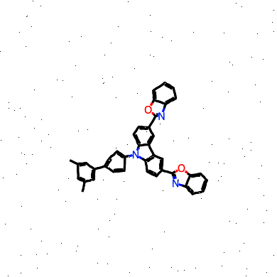 Cc1cc(C)cc(-c2ccc(-n3c4ccc(-c5nc6ccccc6o5)cc4c4cc(-c5nc6ccccc6o5)ccc43)cc2)c1